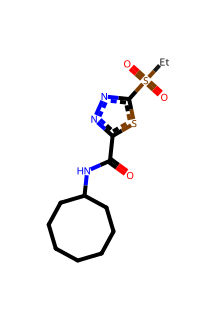 CCS(=O)(=O)c1nnc(C(=O)NC2CCCCCCC2)s1